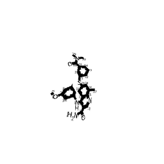 COc1cccc(Nc2c(C(N)=O)cnc3c(C)cc(Sc4cccc(C(=O)N(C)C)c4)cc23)c1